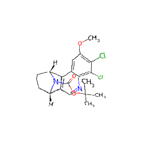 COc1cc2c3c(cnc2c(Cl)c1Cl)[C@@H]1CC[C@H]3N1C(=O)OC(C)(C)C